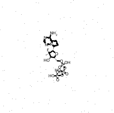 C[C@@]1(F)[C@H](O)[C@@H](COP(=O)(O)OP(=O)(O)OP(=O)(O)O)O[C@H]1c1ccc2c(N)ncnn12